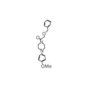 COc1ccc(N2CCN(C(=O)COCc3ccccc3)CC2)cc1